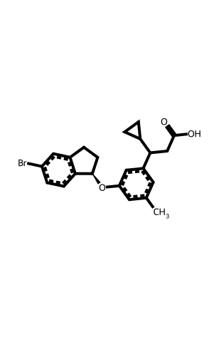 Cc1cc(O[C@@H]2CCc3cc(Br)ccc32)cc(C(CC(=O)O)C2CC2)c1